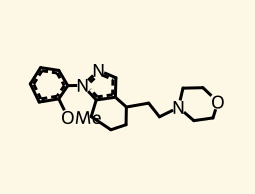 COc1ccccc1-n1ncc2c1CCCC2CCN1CCOCC1